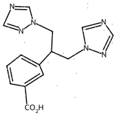 O=C(O)c1cccc(C(Cn2cncn2)Cn2cncn2)c1